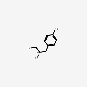 CC[C@H](CBr)Cc1ccc(C(C)(C)C)cc1